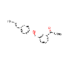 COC(=O)c1cccc(COc2ccc(C=CC(C)C)cc2)c1